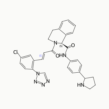 O=C(Nc1ccc(C2CCCN2)cc1)[C@@H]1c2ccccc2CCN1C(=O)/C=C/c1cc(Cl)ccc1-n1cnnn1